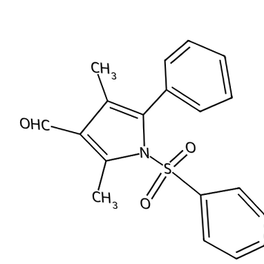 Cc1c(C=O)c(C)n(S(=O)(=O)c2ccccc2)c1-c1ccccc1